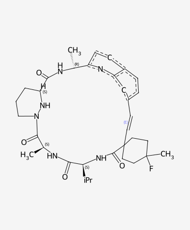 CC(C)[C@@H]1NC(=O)C2(/C=C/c3ccc4ccc(nc4c3)[C@@H](C)NC(=O)[C@@H]3CCCN(N3)C(=O)[C@H](C)NC1=O)CCC(C)(F)CC2